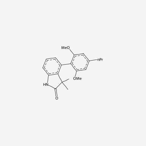 CCCc1cc(OC)c(-c2cccc3c2C(C)(C)C(=O)N3)c(OC)c1